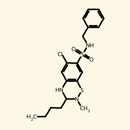 [CH2]CCCC1Nc2cc(Cl)c(S(=O)(=O)NCc3ccccc3)cc2SN1C